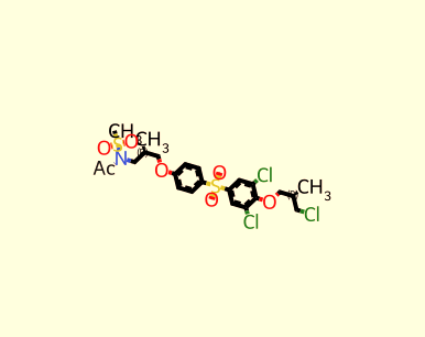 CC(=O)N(C[C@@H](C)COc1ccc(S(=O)(=O)c2cc(Cl)c(OC[C@@H](C)CCl)c(Cl)c2)cc1)S(C)(=O)=O